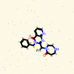 CC(C)C(c1nc2ncccc2c(=O)n1Cc1ccccc1)N1CCNCCC1=O